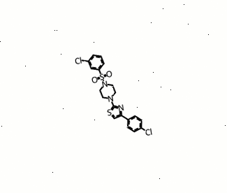 O=S(=O)(c1cccc(Cl)c1)N1CCN(c2nc(-c3ccc(Cl)cc3)cs2)CC1